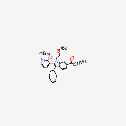 CCCCOCCn1c(-c2cccnc2OCCCC)c(C2CCCCC2)c2ccc(C(=O)OC)cc21